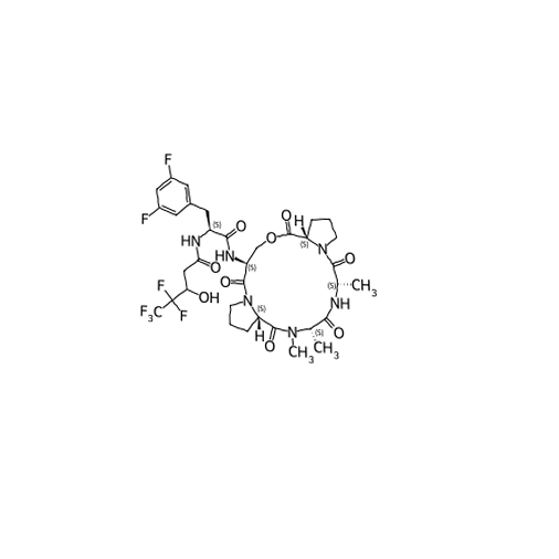 C[C@@H]1NC(=O)[C@H](C)N(C)C(=O)[C@@H]2CCCN2C(=O)[C@@H](NC(=O)[C@H](Cc2cc(F)cc(F)c2)NC(=O)CC(O)C(F)(F)C(F)(F)F)COC(=O)[C@@H]2CCCN2C1=O